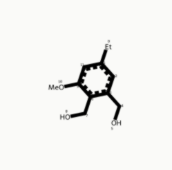 CCc1cc(CO)c(CO)c(OC)c1